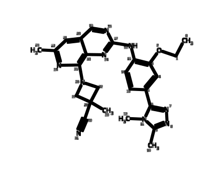 CCOc1cc(-c2nnc(C)n2C)ccc1Nc1ncc2cc(C)nc(N3CC(C)(C#N)C3)c2n1